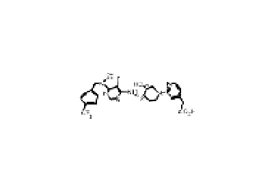 CCN(Cc1ccc(C(F)(F)F)cc1)c1ncnc(NC[C@H]2CCN(c3cc(CC(=O)O)ccn3)C[C@@H]2O)c1F